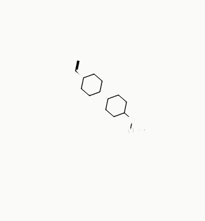 C=C[C@H]1CC[C@H](C2CCC(OCCCCCC)CC2)CC1